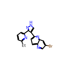 CCc1cccc(-c2n[nH]cc2-c2ccc3ncc(Br)cc3n2)n1